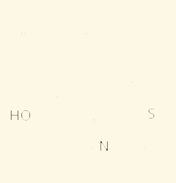 Cc1ccc2scnc2c1O